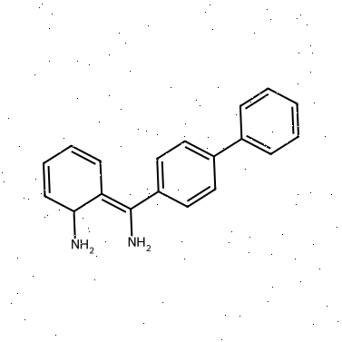 N/C(=C1/C=CC=CC1N)c1ccc(-c2ccccc2)cc1